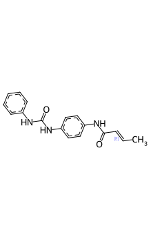 C/C=C/C(=O)Nc1ccc(NC(=O)Nc2ccccc2)cc1